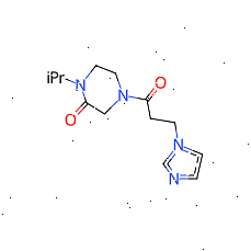 CC(C)N1CCN(C(=O)CCn2ccnc2)CC1=O